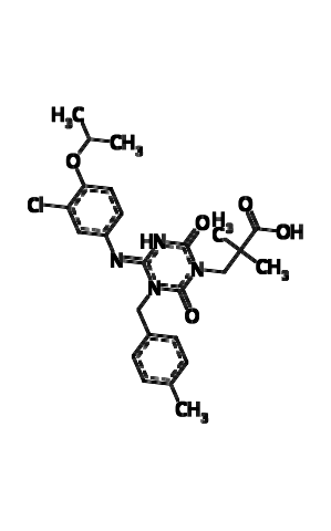 Cc1ccc(Cn2c(=O)n(CC(C)(C)C(=O)O)c(=O)[nH]/c2=N\c2ccc(OC(C)C)c(Cl)c2)cc1